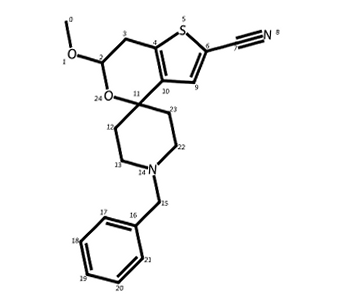 COC1Cc2sc(C#N)cc2C2(CCN(Cc3ccccc3)CC2)O1